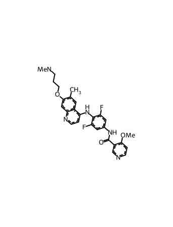 CNCCCOc1cc2nccc(Nc3c(F)cc(NC(=O)c4cnccc4OC)cc3F)c2cc1C